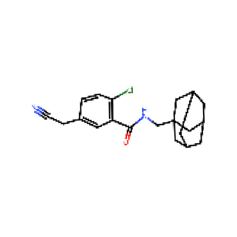 N#CCc1ccc(Cl)c(C(=O)NCC23CC4CC(CC(C4)C2)C3)c1